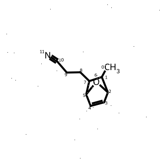 CC1C2C=CC(O2)C1CCC#N